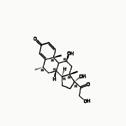 C[C@H]1C[C@@H]2C([C@@H](O)C[C@@]3(C)[C@H]2CC[C@]3(O)C(=O)CO)[C@@]2(C)C=CC(=O)C=C12